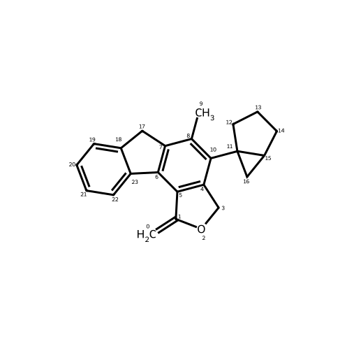 C=C1OCc2c1c1c(c(C)c2C23CCCC2C3)Cc2ccccc2-1